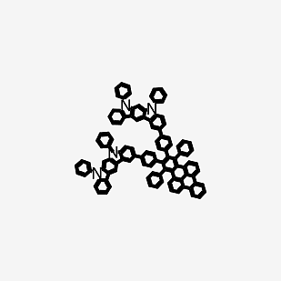 C1=Cc2c(n(-c3ccccc3)c3cc4c(cc23)c2cc(-c3ccc(-c5c(-c6ccc(-c7ccc8c(c7)c7cc9c%10ccccc%10n(-c%10ccccc%10)c9cc7n8-c7ccccc7)cc6)c(-c6ccccc6)c6c7cccc8c9ccccc9c9cccc(c6c5-c5ccccc5)c9c87)cc3)ccc2n4-c2ccccc2)CC1